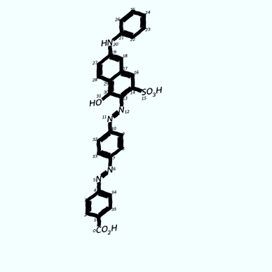 O=C(O)c1ccc(N=Nc2ccc(N=Nc3c(S(=O)(=O)O)cc4cc(Nc5ccccc5)ccc4c3O)cc2)cc1